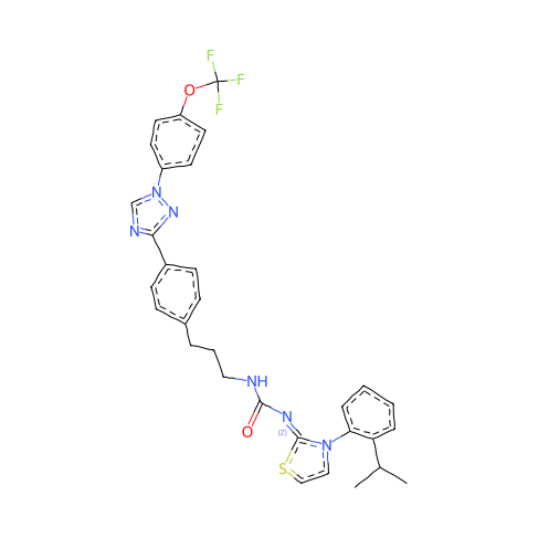 CC(C)c1ccccc1-n1ccs/c1=N\C(=O)NCCCc1ccc(-c2ncn(-c3ccc(OC(F)(F)F)cc3)n2)cc1